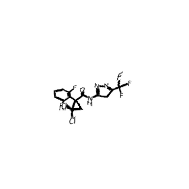 O=C(NC1=NN=C(C(F)(F)F)C1)C1(c2c(F)cccc2F)CC1(Cl)Cl